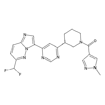 Cn1cc(C(=O)N2CCCC(c3cc(-c4cnc5ccc(C(F)F)nn45)ncn3)C2)cn1